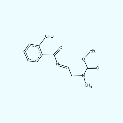 CN(CC=NC(=O)c1ccccc1C=O)C(=O)OC(C)(C)C